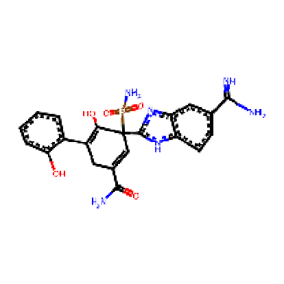 N=C(N)c1ccc2[nH]c(C3(S(N)(=O)=O)C=C(C(N)=O)CC(c4ccccc4O)=C3O)nc2c1